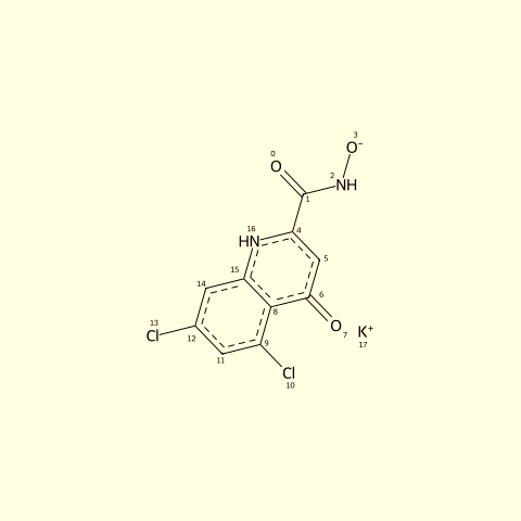 O=C(N[O-])c1cc(=O)c2c(Cl)cc(Cl)cc2[nH]1.[K+]